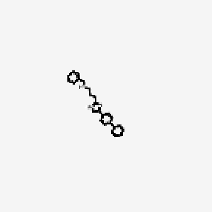 c1ccc(CNCCCc2nc(-c3ccc(-c4ccccc4)cc3)c[nH]2)cc1